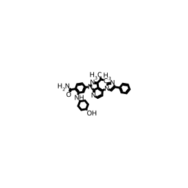 CC(C)c1nn(-c2ccc(C(N)=O)c(N[C@H]3CC[C@H](O)CC3)c2)c2nccc(-n3cnc(-c4ccccc4)c3)c12